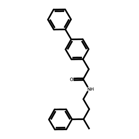 CC(CCNC(=O)Cc1ccc(-c2ccccc2)cc1)c1ccccc1